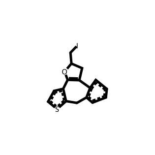 ICC1CC2=C(O1)c1ccsc1Cc1ccccc12